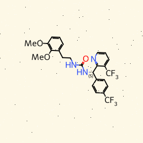 COc1cccc(CCNC(=O)N[C@@H](c2ccc(C(F)(F)F)cc2)c2ncccc2C(F)(F)F)c1OC